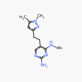 CCCCNc1nc(N)ncc1CCc1cc(C)n(C)n1